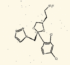 O=S(=O)(O)CC[C@@H]1CO[C@@](Cn2ccnn2)(c2ccc(Cl)cc2Cl)O1